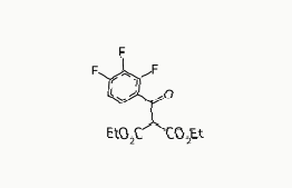 CCOC(=O)C(C(=O)OCC)C(=O)c1ccc(F)c(F)c1F